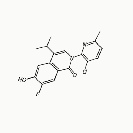 Cc1ccc(Cl)c(-n2cc(C(C)C)c3cc(O)c(F)cc3c2=O)n1